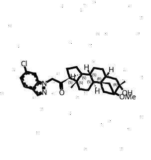 COCC[C@]12CC[C@@](C)(O)C[C@H]1CC[C@H]1[C@@H]3CC[C@H](C(=O)Cn4ncc5ccc(Cl)cc54)[C@@]3(C)CC[C@@H]12